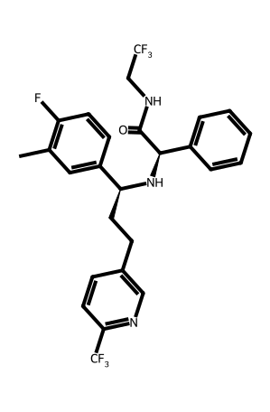 Cc1cc([C@H](CCc2ccc(C(F)(F)F)nc2)N[C@@H](C(=O)NCC(F)(F)F)c2ccccc2)ccc1F